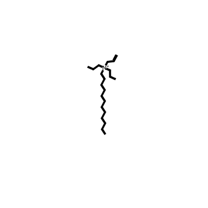 C=CC[N+](CCC)(CCC)CCCCCCCCCCCC